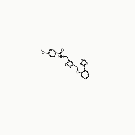 COc1ccc(C(=O)NCc2cc(COc3ccccc3-n3cncn3)no2)cc1